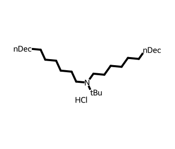 CCCCCCCCCCCCCCCCN(CCCCCCCCCCCCCCCC)C(C)(C)C.Cl